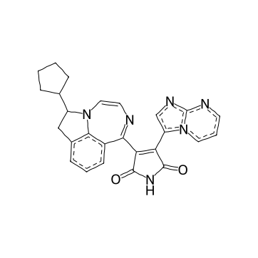 O=C1NC(=O)C(c2cnc3ncccn23)=C1C1=NC=CN2c3c(cccc31)CC2C1CCCC1